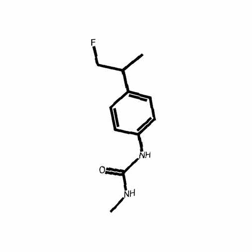 CNC(=O)Nc1ccc(C(C)CF)cc1